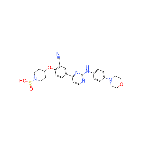 N#Cc1cc(-c2ccnc(Nc3ccc(N4CCOCC4)cc3)n2)ccc1OC1CCN(S(=O)O)CC1